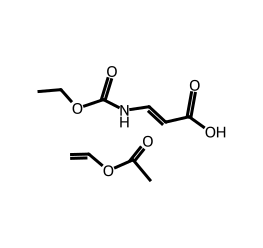 C=COC(C)=O.CCOC(=O)NC=CC(=O)O